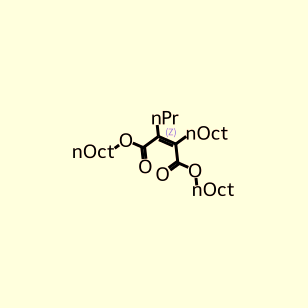 CCCCCCCCOC(=O)/C(CCC)=C(/CCCCCCCC)C(=O)OCCCCCCCC